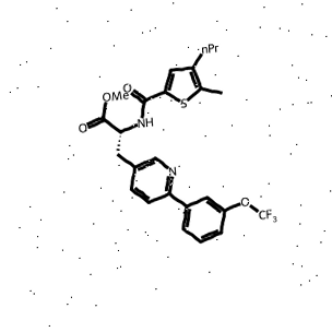 CCCc1cc(C(=O)N[C@H](Cc2ccc(-c3cccc(OC(F)(F)F)c3)nc2)C(=O)OC)sc1C